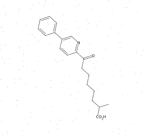 CC(CCCCCC(=O)c1ccc(-c2ccccc2)cn1)C(=O)O